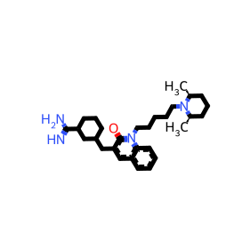 C[C@@H]1CCC[C@H](C)N1CCCCCn1c(=O)c(CC2CCCC(C(=N)N)C2)cc2ccccc21